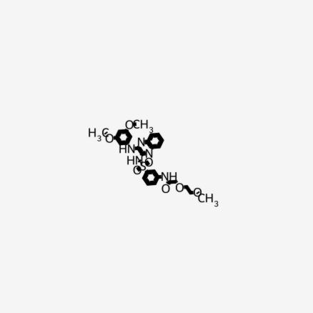 COCCOCC(=O)Nc1cccc(S(=O)(=O)Nc2nc3ccccc3nc2Nc2cc(OC)cc(OC)c2)c1